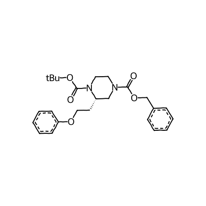 CC(C)(C)OC(=O)N1CCN(C(=O)OCc2ccccc2)C[C@@H]1CCOc1ccccc1